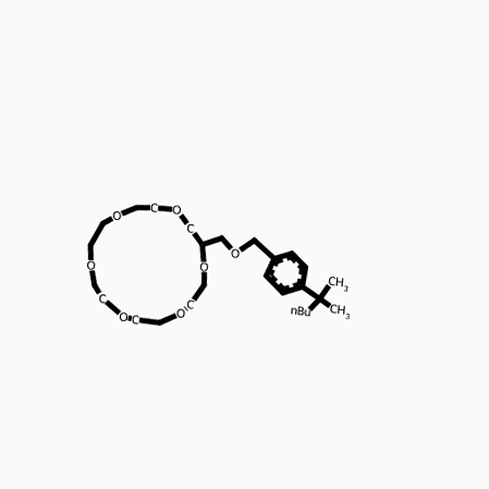 CCCCC(C)(C)c1ccc(COCC2COCCOCCOCCOCCOCCO2)cc1